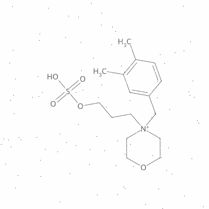 Cc1ccc(C[N+]2(CCCOS(=O)(=O)O)CCOCC2)cc1C